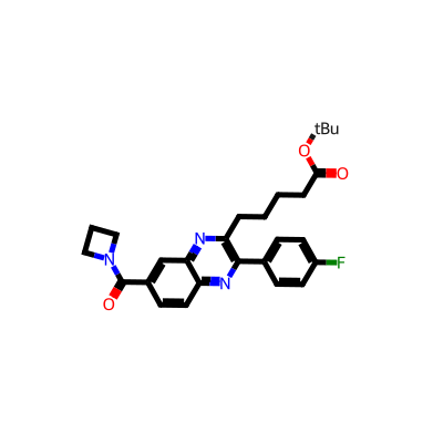 CC(C)(C)OC(=O)CCCCc1nc2cc(C(=O)N3CCC3)ccc2nc1-c1ccc(F)cc1